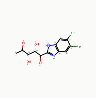 CC(O)[C@@H](O)[C@H](O)C(O)c1nc2cc(F)c(F)cc2[nH]1